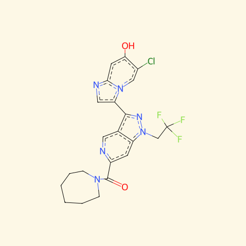 O=C(c1cc2c(cn1)c(-c1cnc3cc(O)c(Cl)cn13)nn2CC(F)(F)F)N1CCCCCC1